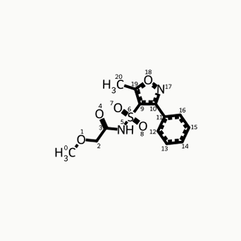 COCC(=O)NS(=O)(=O)c1c(-c2ccccc2)noc1C